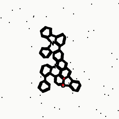 c1ccc(-c2ccccc2-c2c(-c3ccccc3)cccc2N(c2ccc(-c3cccc4c5ccccc5n(-c5ccccc5)c34)cc2)c2ccc3c(c2)oc2ccccc23)cc1